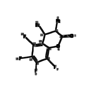 CCC1C(=O)Oc2c(F)c(F)c(F)c(F)c2C1CC